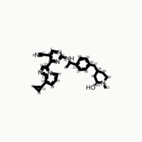 CC(Nc1ncc(C#N)c(-c2cnc3c(C4CC4)cccn23)n1)c1ccc(CC2CCN(C)[C@@H](O)C2)cc1